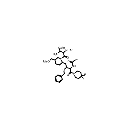 COCC1CCC(CC(OCc2ccccc2)C(NC(=O)C(C)C)C(=O)N2CCC(F)(F)CC2)N(C(=O)C(NC(C)=O)C(C)OC)C1